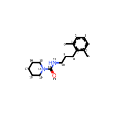 Cc1cccc(C)c1CCCNC(=O)N1CCCCC1